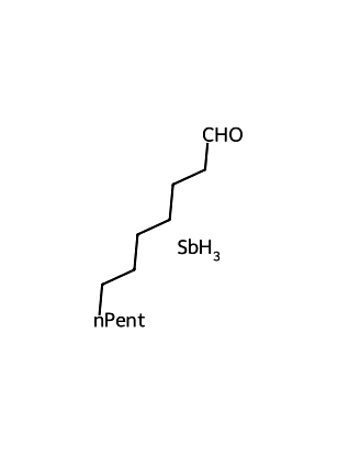 CCCCCCCCCCCC=O.[SbH3]